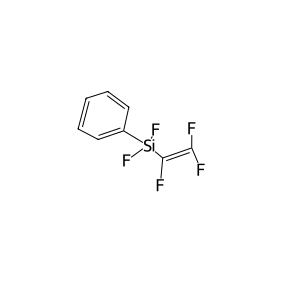 FC(F)=C(F)[Si](F)(F)c1ccccc1